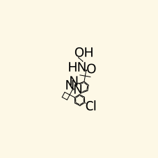 CC(C)(C(=O)NCCO)c1cccn2c(C3(c4ccc(Cl)cc4)CCC3)nnc12